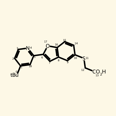 CC(C)(C)c1ccnc(-c2cc3cc(SCC(=O)O)ccc3o2)c1